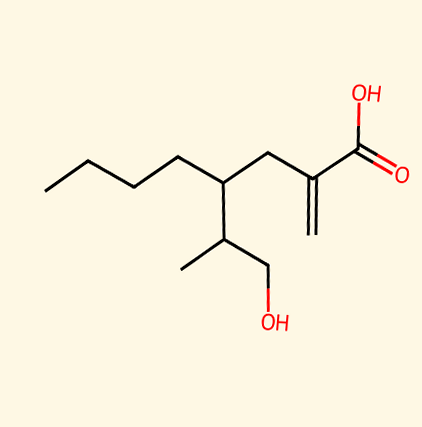 C=C(CC(CCCC)C(C)CO)C(=O)O